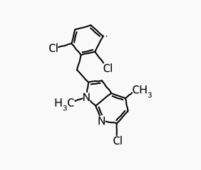 Cc1cc(Cl)nc2c1cc(Cc1c(Cl)[c]ccc1Cl)n2C